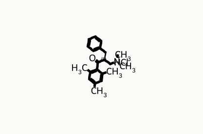 Cc1cc(C)c(C(=O)[C@@H](Cc2ccccc2)CN(C)C)c(C)c1.Cl